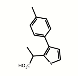 Cc1ccc(-c2ccsc2C(C)C(=O)O)cc1